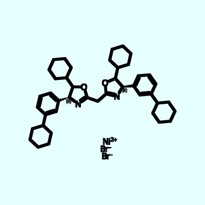 [Br-].[Br-].[Ni+2].c1cc(C2CCCCC2)cc([C@H]2N=C(CC3=N[C@H](c4cccc(C5CCCCC5)c4)C(C4CCCCC4)O3)OC2C2CCCCC2)c1